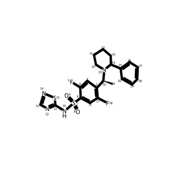 C[C@@H](c1cc(F)c(S(=O)(=O)Nc2ncns2)cc1F)N1CCCCC1c1ccccc1